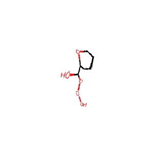 OOOC(O)C1CCCO1